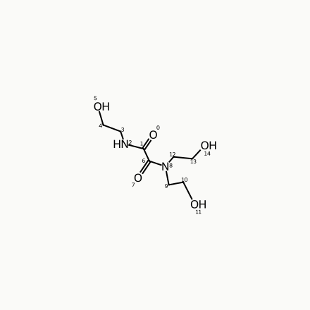 O=C(NCCO)C(=O)N(CCO)CCO